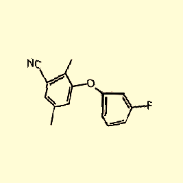 Cc1cc(C#N)c(C)c(Oc2cccc(F)c2)c1